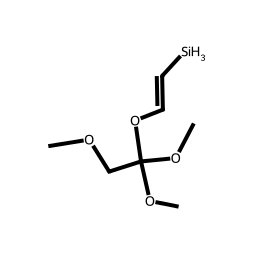 COCC(OC)(OC)OC=C[SiH3]